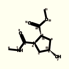 CNC(=O)N1C[C@@H](O)C[C@H]1C(=O)OC